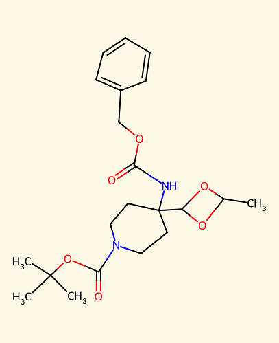 CC1OC(C2(NC(=O)OCc3ccccc3)CCN(C(=O)OC(C)(C)C)CC2)O1